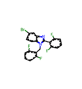 Fc1cccc(F)c1Cn1c(-c2c(F)cccc2F)nc2cc(Br)ccc21